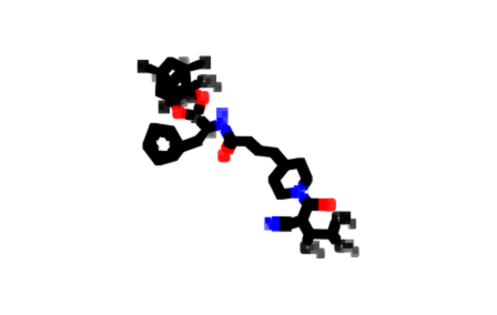 CC(C)C(C)C(C#N)C(=O)N1CCC(CCCC(=O)N[C@@H](Cc2ccccc2)B2O[C@@H]3C[C@@H]4C[C@@H](C4(C)C)[C@]3(C)O2)CC1